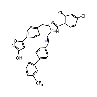 Oc1cc(-c2ccc(Cn3cc(-c4ccc(Cl)cc4Cl)nc3/C=C/c3ccc(-c4cccc(C(F)(F)F)c4)cc3)cc2)on1